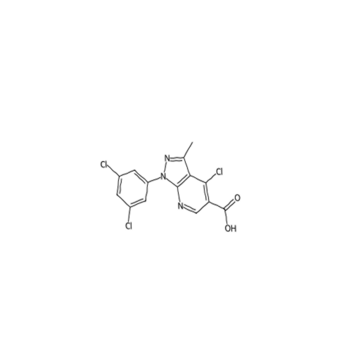 Cc1nn(-c2cc(Cl)cc(Cl)c2)c2ncc(C(=O)O)c(Cl)c12